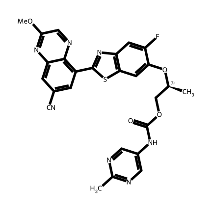 COc1cnc2c(-c3nc4cc(F)c(O[C@@H](C)COC(=O)Nc5cnc(C)nc5)cc4s3)cc(C#N)cc2n1